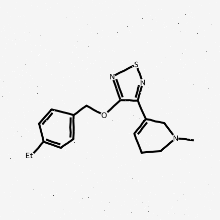 CCc1ccc(COc2nsnc2C2=CCCN(C)C2)cc1